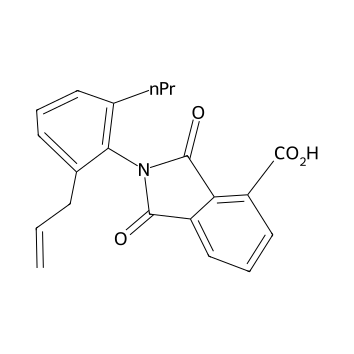 C=CCc1cccc(CCC)c1N1C(=O)c2cccc(C(=O)O)c2C1=O